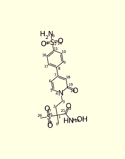 CC(CCn1ccc(-c2ccc(S(N)(=O)=O)cc2)cc1=O)(C(=O)NO)S(C)(=O)=O